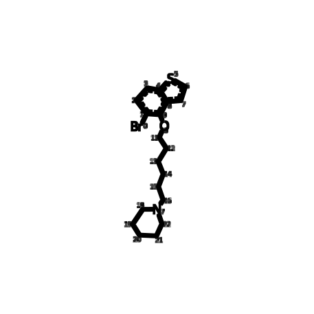 Brc1ccc2sccc2c1OCCCCCCN1CCCCC1